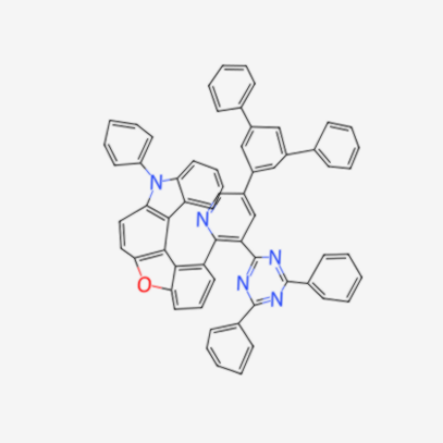 c1ccc(-c2cc(-c3ccccc3)cc(-c3cnc(-c4cccc5oc6ccc7c(c8ccccc8n7-c7ccccc7)c6c45)c(-c4nc(-c5ccccc5)nc(-c5ccccc5)n4)c3)c2)cc1